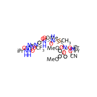 COC(=O)[C@H](CCC(=O)NCCSSC(C)CCC(=O)N1C[C@H](OP(OCCC#N)N(C(C)C)C(C)C)C[C@H]1COC(c1ccccc1)(c1ccc(OC)cc1)c1ccc(OC)cc1)NC(=O)c1ccc(N(Cc2cnc3nc(NC(=O)C(C)C)[nH]c(=O)c3n2)C(=O)C(F)(F)F)cc1